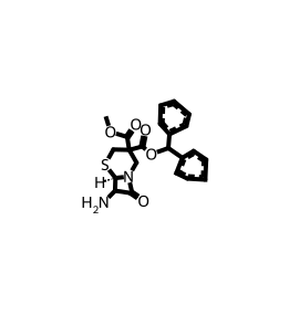 COC(=O)C1(C(=O)OC(c2ccccc2)c2ccccc2)CS[C@@H]2C(N)C(=O)N2C1